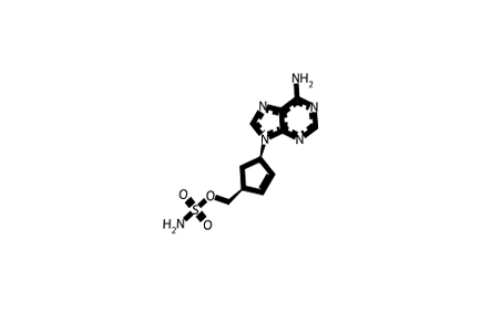 Nc1ncnc2c1ncn2[C@H]1C=C[C@@H](COS(N)(=O)=O)C1